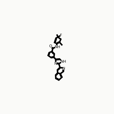 CC1=C(NC(=O)c2cccc(-c3c[nH]c(-c4cc5ccccc5cn4)n3)c2)C=CC(C)(F)C1